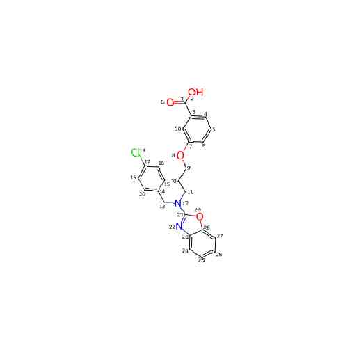 O=C(O)c1cccc(OCCCN(Cc2ccc(Cl)cc2)c2nc3ccccc3o2)c1